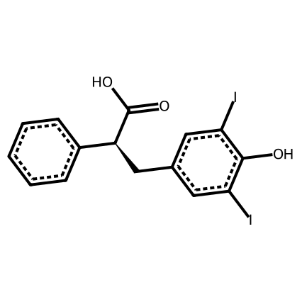 O=C(O)[C@@H](Cc1cc(I)c(O)c(I)c1)c1ccccc1